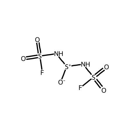 O=S(=O)(F)N[S+]([O-])NS(=O)(=O)F